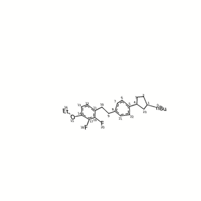 CCCCC1CCC(c2ccc(CCc3ccc(OCC)c(F)c3F)cc2)C1